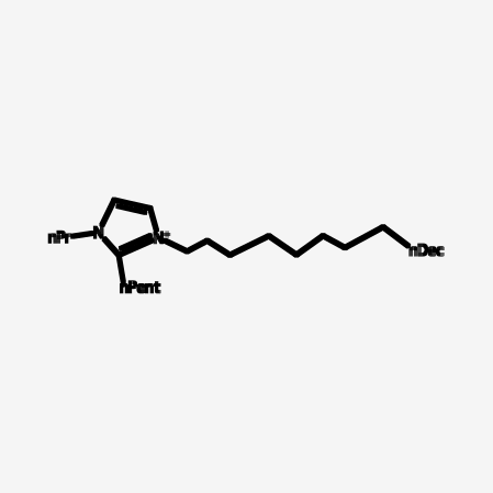 CCCCCCCCCCCCCCCCCC[n+]1ccn(CCC)c1CCCCC